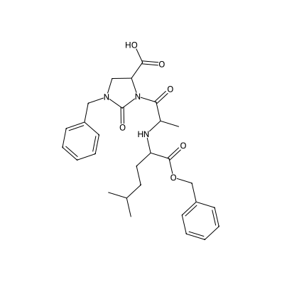 CC(C)CCC(NC(C)C(=O)N1C(=O)N(Cc2ccccc2)CC1C(=O)O)C(=O)OCc1ccccc1